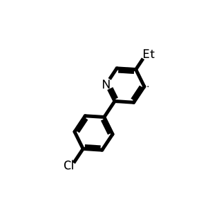 CCc1[c]cc(-c2ccc(Cl)cc2)nc1